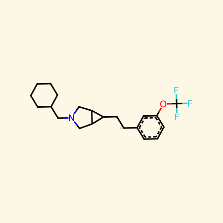 FC(F)(F)Oc1cccc([CH]CC2C3CN(CC4CCCCC4)CC23)c1